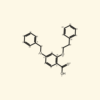 O=C(O)c1ccc(OCc2ccccc2)cc1OCCc1ccccc1